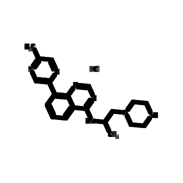 Cc1cnc(-c2cccc3c(NC(C)CN4CCNCC4)ncnc23)cn1.Cl